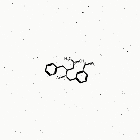 CC(=O)N(Cc1cccc(CC(C)C)c1)[C@@H](Cc1ccccc1)CN(C)C